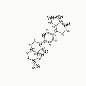 N#CN1CCN2CCN(c3ccc(C4CCNC5NNCC54)cn3)C(=O)[C@H]2C1